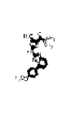 COc1ccc(-c2cccc3nc(Nc4nc(C)c(C(=O)N(C)C)s4)nn23)cc1